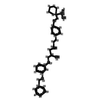 O=[PH](O)C1(COc2ccc(CCNCC(O)COc3cccc(OCc4ccccc4)c3)cc2)CCCCC1